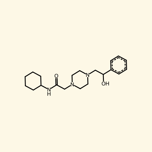 O=C(CN1CCN(CC(O)c2ccccc2)CC1)NC1CCCCC1